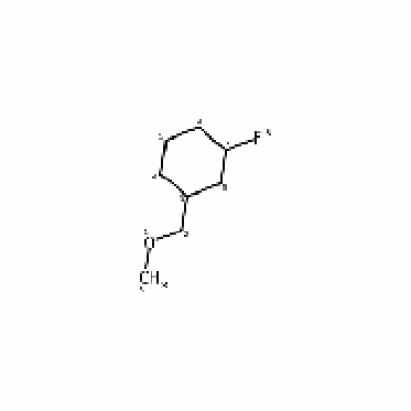 COCC1CCCC(F)C1